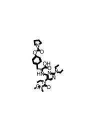 CCN(CC)c1ncc(N(CC)C(=O)N(C)OC)c(N[C@@H](Cc2ccc(OC(=O)N3CCCC3)cc2)C(=O)O)n1